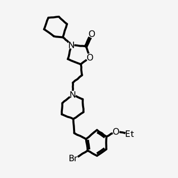 CCOc1ccc(Br)c(CC2CCN(CCC3CN(C4CCCCC4)C(=O)O3)CC2)c1